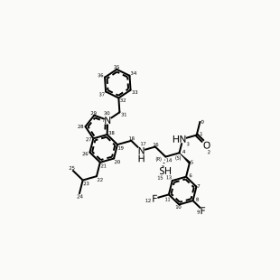 CC(=O)N[C@@H](Cc1cc(F)cc(F)c1)[C@H](S)CNCc1cc(CC(C)C)cc2ccn(Cc3ccccc3)c12